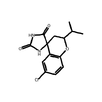 CC(C)C1CC2(NC(=O)NC2=O)c2cc(Cl)ccc2O1